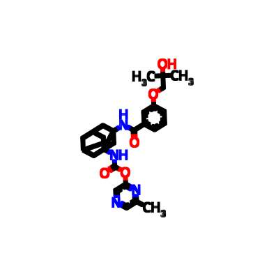 Cc1cncc(OC(=O)NC23CC4CC(C2)CC(NC(=O)c2cccc(OCC(C)(C)O)c2)(C4)C3)n1